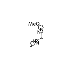 COc1ccn2cc(C3CC3c3cn4ccc(F)cc4n3)nc2c1C